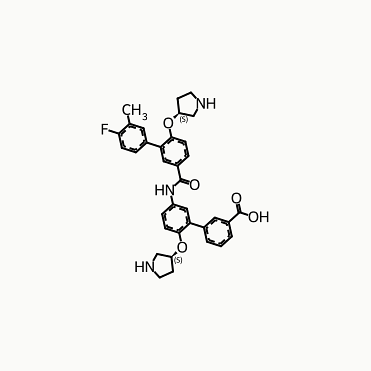 Cc1cc(-c2cc(C(=O)Nc3ccc(O[C@H]4CCNC4)c(-c4cccc(C(=O)O)c4)c3)ccc2O[C@H]2CCNC2)ccc1F